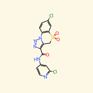 O=C(Nc1ccnc(Cl)c1)c1nnn2c1CS(=O)(=O)c1cc(Cl)ccc1-2